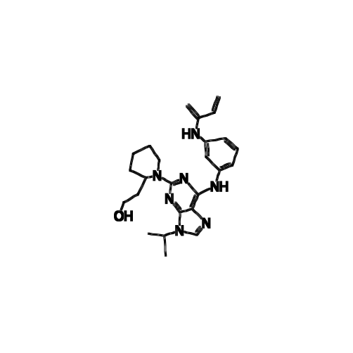 C=CC(=C)Nc1cccc(Nc2nc(N3CCCCC3CCO)nc3c2ncn3C(C)C)c1